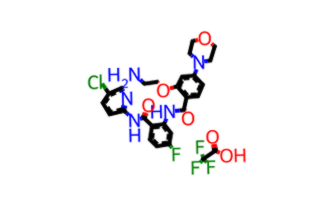 NCCOc1cc(N2CCOCC2)ccc1C(=O)Nc1cc(F)ccc1C(=O)Nc1ccc(Cl)cn1.O=C(O)C(F)(F)F